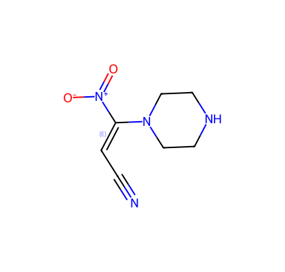 N#C/C=C(\N1CCNCC1)[N+](=O)[O-]